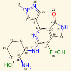 Cl.Cl.Cn1cc(-c2nc(N[C@@H]3CCCC[C@@H]3N)c(F)c3c2C(=O)NC3)cn1